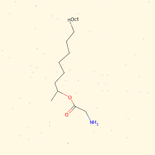 CCCCCCCCCCCCCCC(C)OC(=O)CN